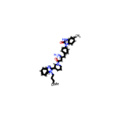 COCCCn1c(C2CCCN(C(=O)CC(N)Cc3ccc(-n4c(=O)[nH]c5cc(C)ccc54)cc3)C2)nc2ccccc21